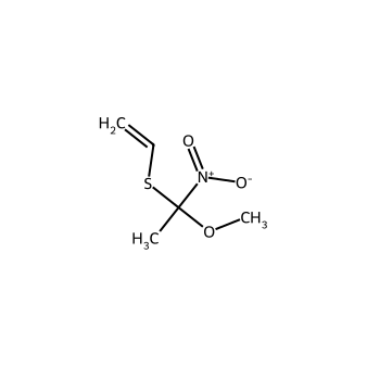 C=CSC(C)(OC)[N+](=O)[O-]